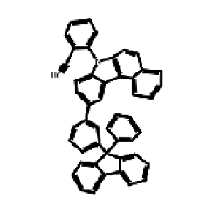 C#Cc1ccccc1-n1c2ccc(-c3cccc(C4(c5ccccc5)c5ccccc5-c5ccccc54)c3)cc2c2c3ccccc3ccc21